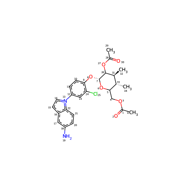 CC(=O)OCC1O[C@H](Oc2ccc(-n3ccc4cc(N)ccc43)cc2Cl)C(OC(C)=O)[C@@H](C)[C@@H]1C